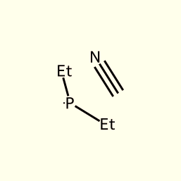 C#N.CC[P]CC